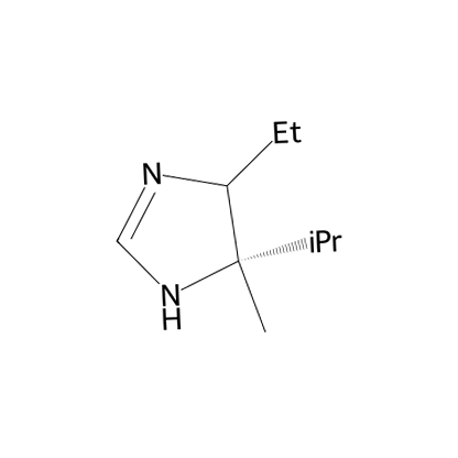 CCC1N=CN[C@@]1(C)C(C)C